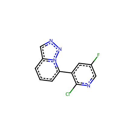 Fc1cnc(Cl)c(-c2cccc3cnnn23)c1